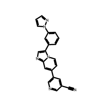 N#Cc1cncc(-c2ccn3c(-c4cccc(-n5cccn5)c4)cnc3c2)c1